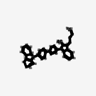 C=CCCC1=C(C)N(c2ccc(-c3ccc(N4C5=C(CCC=C5)C5C=CC=CC54)cc3)cc2)C2C=CC=CC12